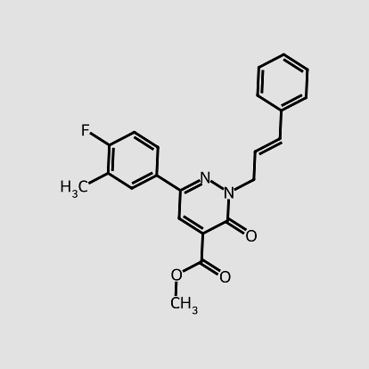 COC(=O)c1cc(-c2ccc(F)c(C)c2)nn(CC=Cc2ccccc2)c1=O